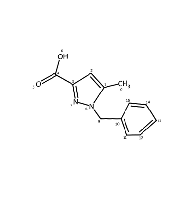 Cc1cc(C(=O)O)nn1Cc1ccccc1